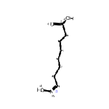 O=C(O)CCCCCC/C=N\O